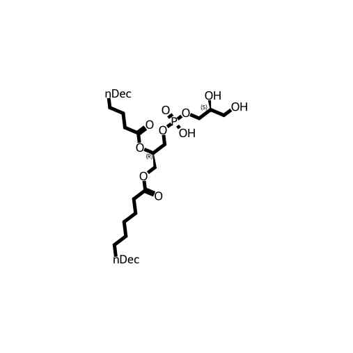 CCCCCCCCCCCCCCCC(=O)OC[C@H](COP(=O)(O)OC[C@@H](O)CO)OC(=O)CCCCCCCCCCCCC